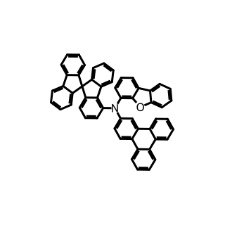 c1ccc2c(c1)-c1ccccc1C21c2ccccc2-c2c(N(c3ccc4c5ccccc5c5ccccc5c4c3)c3cccc4c3oc3ccccc34)cccc21